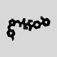 O=C(NCC1=CC(Cc2ccc(F)cc2)CS1)[C@H](O)[C@@H](O)C(=O)N1CCN(c2ccccc2F)CC1